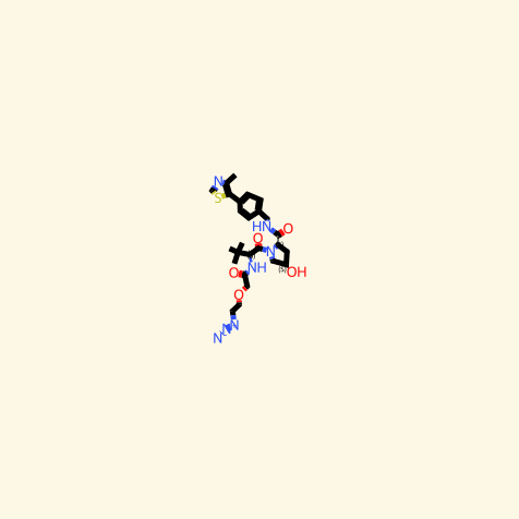 Cc1ncsc1-c1ccc(CNC(=O)[C@@H]2C[C@H](O)CN2C(=O)[C@@H](NC(=O)COCCN=[N+]=[N-])C(C)(C)C)cc1